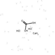 Cl.Cl.O=C(O)O.[CaH2]